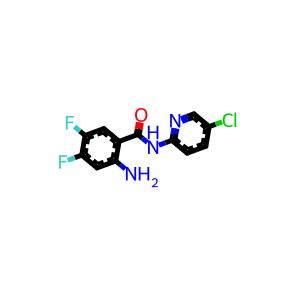 Nc1cc(F)c(F)cc1C(=O)Nc1ccc(Cl)cn1